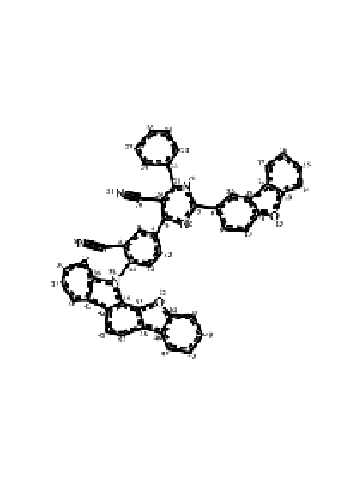 N#Cc1cc(-c2nc(-c3ccc4oc5ccccc5c4c3)nc(-c3ccccc3)c2C#N)ccc1-n1c2ccccc2c2ccc3c4ccccc4oc3c21